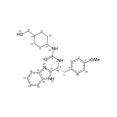 COc1ccc(C[C@@H](NC(=O)NC2CCC(CO)CC2)c2nc3ccccc3[nH]2)cc1